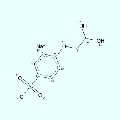 O=S(=O)([O-])c1ccc(OCC(O)O)cc1.[Na+]